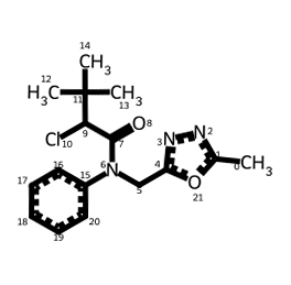 Cc1nnc(CN(C(=O)C(Cl)C(C)(C)C)c2ccccc2)o1